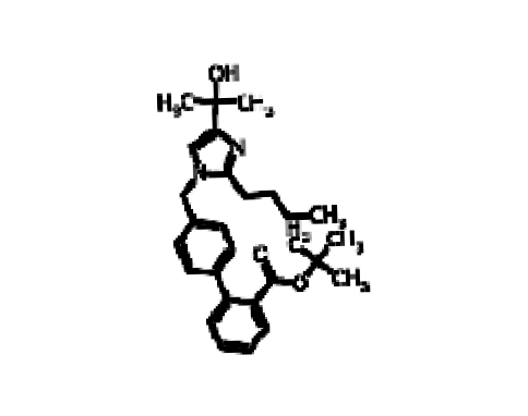 CCCCc1nc(C(C)(C)O)cn1Cc1ccc(-c2ccccc2C(=O)OC(C)(C)C)cc1